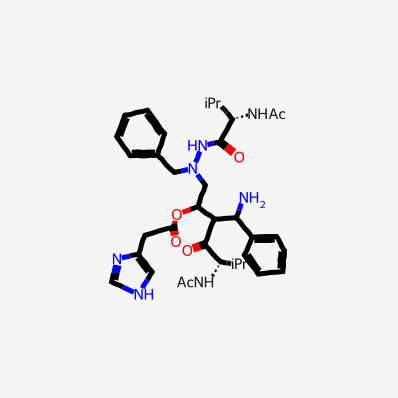 CC(=O)N[C@H](C(=O)NN(Cc1ccccc1)CC(OC(=O)Cc1c[nH]cn1)C(C(=O)[C@@H](NC(C)=O)C(C)C)C(N)c1ccccc1)C(C)C